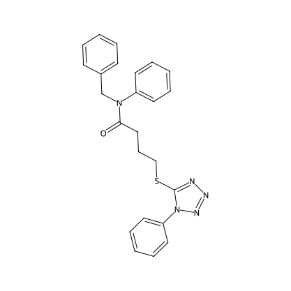 O=C(CCCSc1nnnn1-c1ccccc1)N(Cc1ccccc1)c1ccccc1